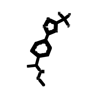 CONC(C)c1ccc(-c2noc(C(F)(F)F)n2)cc1